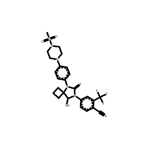 CS(=O)(=O)N1CCN(c2ccc(N3C(=S)N(c4ccc(C#N)c(C(F)(F)F)c4)C(O)C34CCC4)cc2)CC1